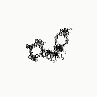 N[C@@H]1CCCC[C@H]1N.N[C@@H]1CCCC[C@H]1N.N[C@H]1CCCC[C@@H]1N.N[C@H]1CCCC[C@@H]1N.O=C([O-])[C@H]1OCCOCCO[C@@H](C(=O)[O-])[C@@H](C(=O)[O-])OCCOCCO[C@H]1C(=O)[O-].O=C([O-])[C@H]1OCCOCCO[C@@H](C(=O)[O-])[C@H](C(=O)[O-])OCCOCCO[C@H]1C(=O)[O-].[Pt+2].[Pt+2].[Pt+2].[Pt+2]